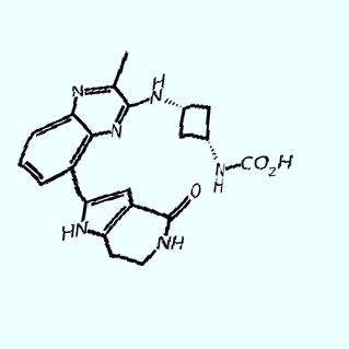 Cc1nc2cccc(-c3cc4c([nH]3)CCNC4=O)c2nc1N[C@H]1C[C@@H](NC(=O)O)C1